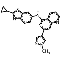 Cn1cc(-c2cc3ncccc3c(Nc3ccc4nc(C5CC5)sc4c3)n2)cn1